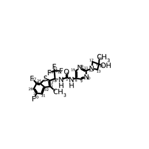 Cc1c([C@@H](NC(=O)Nc2cnc(N3CC(C)(O)C3)nc2)C(F)(F)F)sc2c(F)cc(F)cc12